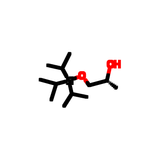 CC(C)[Si](OC[C@@H](C)O)(C(C)C)C(C)C